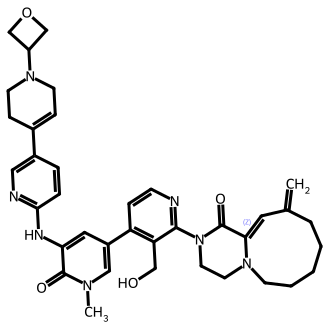 C=C1/C=C2/C(=O)N(c3nccc(-c4cc(Nc5ccc(C6=CCN(C7COC7)CC6)cn5)c(=O)n(C)c4)c3CO)CCN2CCCCC1